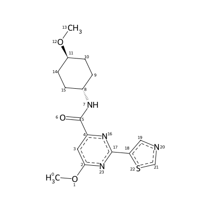 COc1cc(C(=O)N[C@H]2CC[C@H](OC)CC2)nc(-c2cncs2)n1